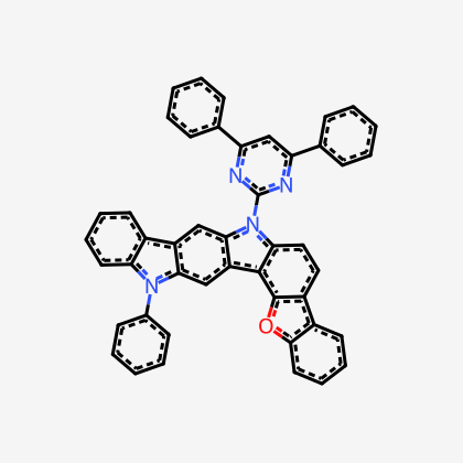 c1ccc(-c2cc(-c3ccccc3)nc(-n3c4cc5c6ccccc6n(-c6ccccc6)c5cc4c4c5oc6ccccc6c5ccc43)n2)cc1